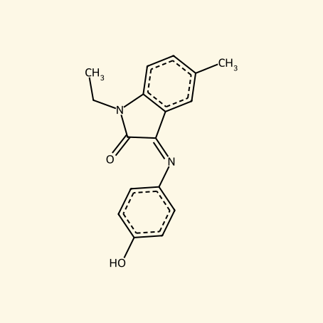 CCN1C(=O)C(=Nc2ccc(O)cc2)c2cc(C)ccc21